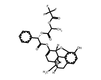 CC(OC(=O)C(F)(F)F)C(=O)O[C@H](C(=O)OC1=CC[C@@]2(O)[C@H]3Cc4ccc(O)c5c4[C@@]2(CCN3C)[C@H]1O5)c1ccccc1